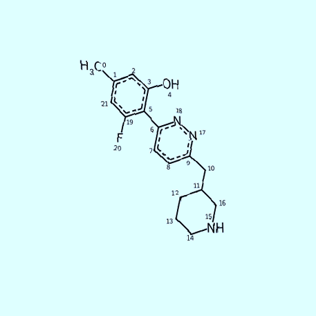 Cc1cc(O)c(-c2ccc(CC3CCCNC3)nn2)c(F)c1